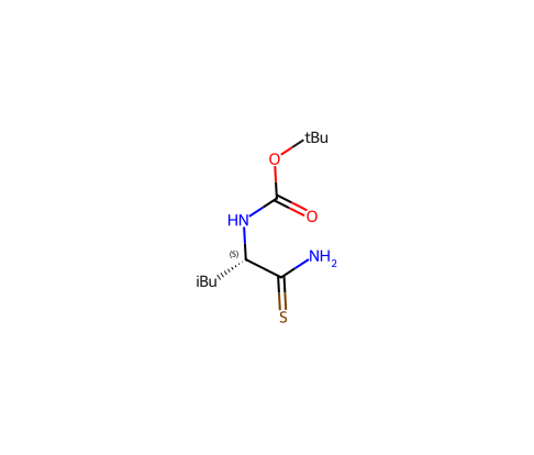 CCC(C)[C@H](NC(=O)OC(C)(C)C)C(N)=S